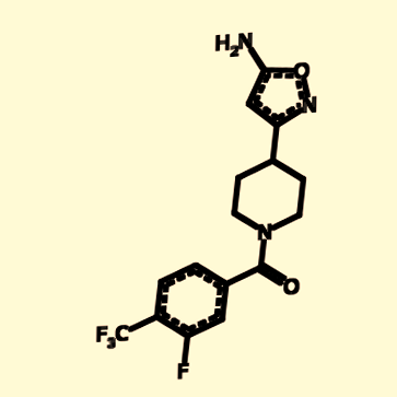 Nc1cc(C2CCN(C(=O)c3ccc(C(F)(F)F)c(F)c3)CC2)no1